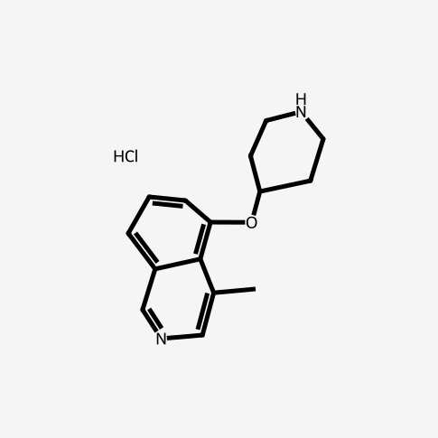 Cc1cncc2cccc(OC3CCNCC3)c12.Cl